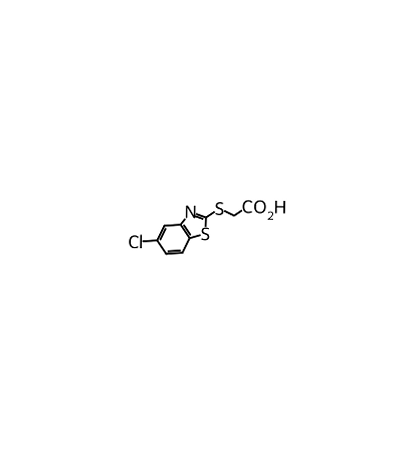 O=C(O)CSc1nc2cc(Cl)ccc2s1